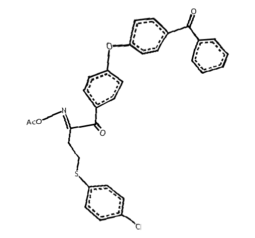 CC(=O)O/N=C(\CCSc1ccc(Cl)cc1)C(=O)c1ccc(Oc2ccc(C(=O)c3ccccc3)cc2)cc1